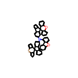 c1ccc2c(c1)Oc1ccccc1C21c2ccccc2-c2ccc(N(c3ccc4c(c3)-c3ccccc3C43c4ccccc4Sc4ccccc43)c3cccc4oc5ccccc5c34)cc21